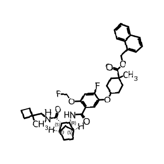 CC1(CNC(=O)[C@H]2[C@@H]3CC[C@@H](C3)[C@H]2NC(=O)c2cc(OC3CCC(C)(C(=O)OCc4cccc5ccccc45)CC3)c(F)cc2OCF)CCC1